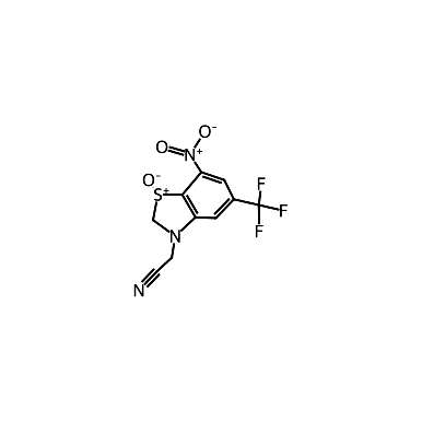 N#CCN1C[S+]([O-])c2c1cc(C(F)(F)F)cc2[N+](=O)[O-]